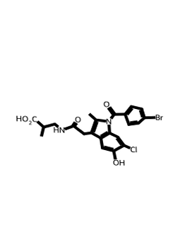 Cc1c(CC(=O)NCC(C)C(=O)O)c2cc(O)c(Cl)cc2n1C(=O)c1ccc(Br)cc1